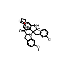 COc1ccc2c(c1)N(C1(Cc3cccc(Cl)c3)C(=O)Nc3cc(Cl)ccc31)C(C(=O)NC1CCC1)C2